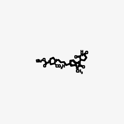 Cn1c(=O)n(C2CCC(=O)NC2=O)c2ccc(CCCCN3CCN(C(=O)OC(C)(C)C)C[C@H]3C(=O)O)cc21